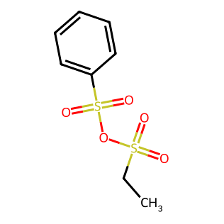 CCS(=O)(=O)OS(=O)(=O)c1ccccc1